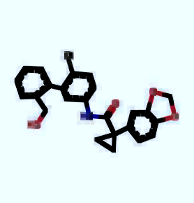 CCc1ccc(NC(=O)C2(c3ccc4c(c3)OCO4)CC2)cc1-c1ccccc1CO